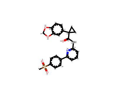 CS(=O)(=O)c1ccc(-c2cccc(BC(=O)C3(c4ccc5c(c4)OCO5)CC3)n2)cc1